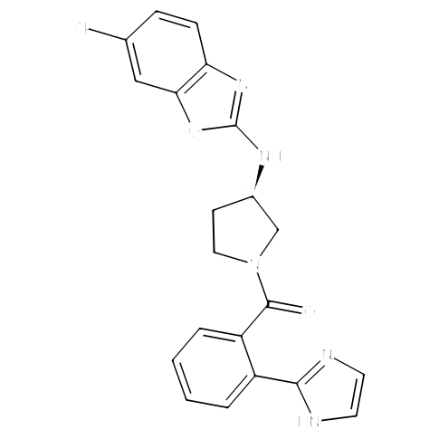 O=C(c1ccccc1-c1ncc[nH]1)N1CC[C@@H](Nc2nc3ccc(Cl)cc3o2)C1